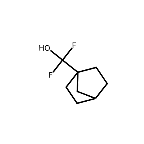 OC(F)(F)C12CCC(CC1)C2